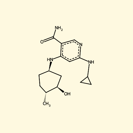 C[C@@H]1CC[C@@H](Nc2cc(NC3CC3)ncc2C(N)=O)C[C@H]1O